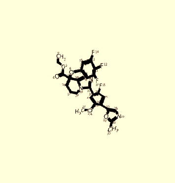 CCOC(=O)C1(Oc2cc(F)c(F)c(F)c2)CCCn2c(-c3cc(OC)c(-c4cnc(C)o4)cc3F)nnc21